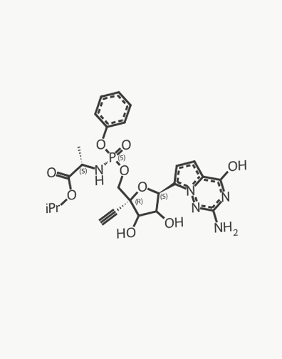 C#C[C@]1(CO[P@@](=O)(N[C@@H](C)C(=O)OC(C)C)Oc2ccccc2)O[C@@H](c2ccc3c(O)nc(N)nn23)C(O)C1O